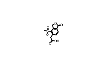 CS(=O)(=O)c1c(CC(=O)O)ccc2c1COC2=O